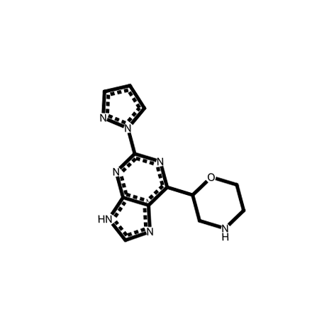 c1cnn(-c2nc(C3CNCCO3)c3nc[nH]c3n2)c1